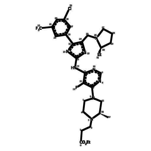 CCOC(=O)CCN1CCN(c2ncnc(Nc3nc(-c4cc(Cl)cc(C(F)(F)F)c4)c(CN4CCC[C@H]4CC)s3)c2F)C[C@@H]1C